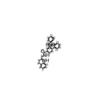 O=C(NCC1CCc2ccccc2N1)[C@@H]1CC[C@H](c2ccccc2)N(S(=O)(=O)c2ccccc2)C1